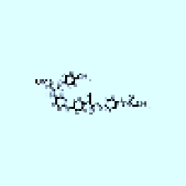 C=CC(=O)OCC1CCC(CCC(=O)NC2CCC(CC3CCC(NC(COC)COc4ccc(C)cc4)CC3)CC2)CC1